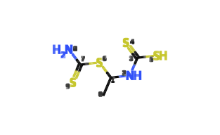 CC(NC(=S)S)SC(N)=S